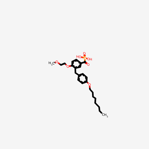 CCCCCCCCOc1ccc(Cc2cc(C(=O)P(=O)(O)O)ccc2OCCOC)cc1